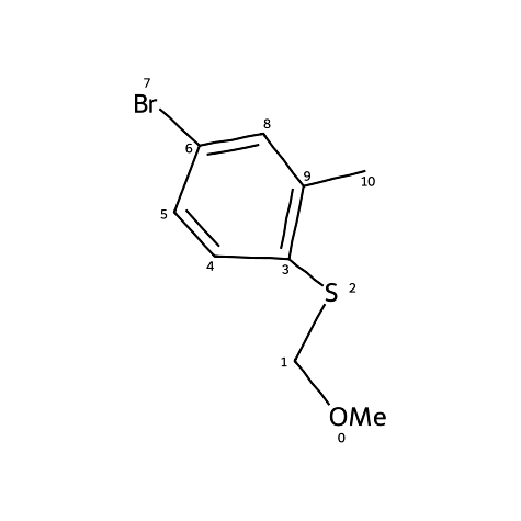 COCSc1ccc(Br)cc1C